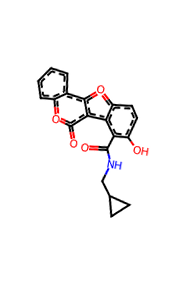 O=C(NCC1CC1)c1c(O)ccc2oc3c4ccccc4oc(=O)c3c12